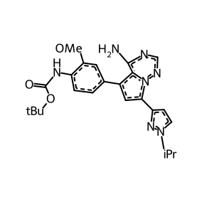 COc1cc(-c2cc(-c3ccn(C(C)C)n3)n3ncnc(N)c23)ccc1NC(=O)OC(C)(C)C